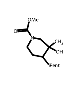 CCCC(C)C1CCN(C(=O)OC)CC1(C)O